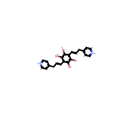 Brc1c(Br)c(/C=C/Cc2ccncc2)c(Br)c(Br)c1C=CCc1ccncc1